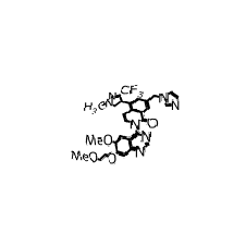 COCCOc1cc2ncnc(N3CCc4c(cc(Cn5ccnc5)cc4-c4cn(C)nc4C(F)(F)F)C3=O)c2cc1OC